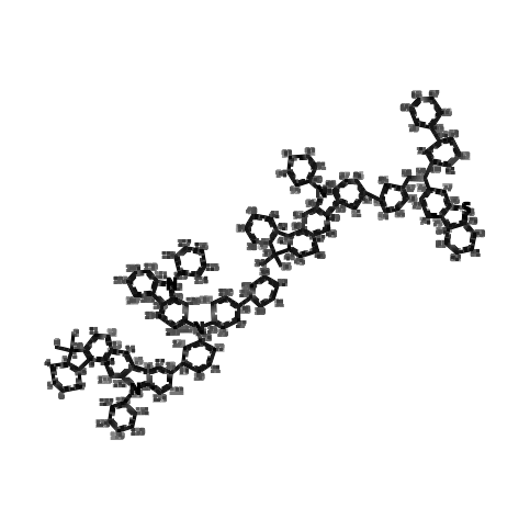 CC1(C)c2ccccc2-c2c1ccc1cc3c4cc(-c5cccc(N(c6ccc(-c7cccc(CC8(C)c9ccccc9-c9c8ccc8cc%10c%11cc(-c%12cccc(/C=C(/c%13cccc(-c%14ccccc%14)c%13)c%13ccc%14c(c%13)sc%13ccccc%13%14)c%12)ccc%11n(-c%11ccccc%11)c%10cc98)c7)cc6)c6ccc7c8ccccc8n(-c8ccccc8)c7c6)c5)ccc4n(-c4ccccc4)c3cc21